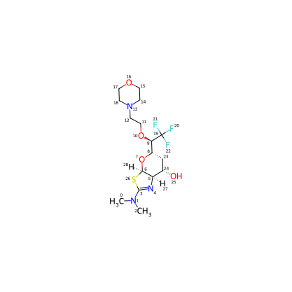 CN(C)C1=N[C@H]2[C@H](O[C@H]([C@@H](OCCN3CCOCC3)C(F)(F)F)C[C@@H]2O)S1